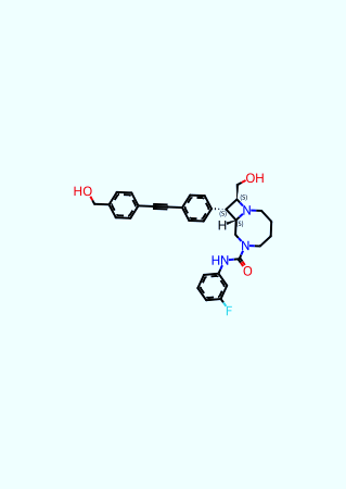 O=C(Nc1cccc(F)c1)N1CCCCN2[C@H](CO)[C@@H](c3ccc(C#Cc4ccc(CO)cc4)cc3)[C@H]2C1